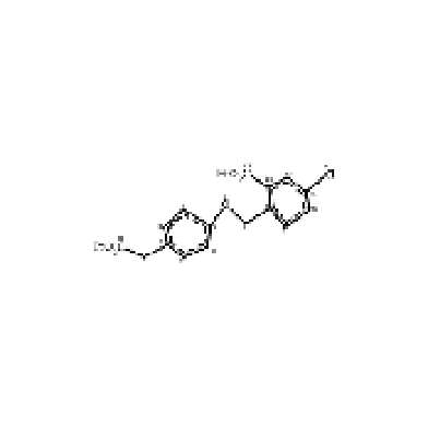 CCOC(=O)Cc1ccc(OCc2ccc(Cl)cc2C(=O)OCC)cc1